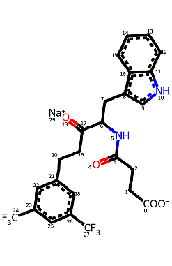 O=C([O-])CCC(=O)NC(Cc1c[nH]c2ccccc12)C(=O)CCc1cc(C(F)(F)F)cc(C(F)(F)F)c1.[Na+]